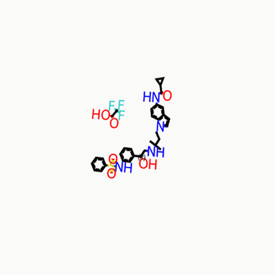 CC(C)(CCn1ccc2cc(NC(=O)C3CC3)ccc21)NC[C@H](O)c1cccc(NS(=O)(=O)c2ccccc2)c1.O=C(O)C(F)(F)F